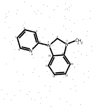 CN1CN(c2ccccn2)c2ccccc21